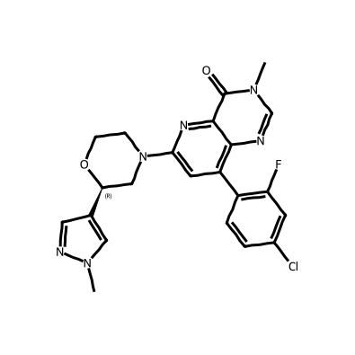 Cn1cc([C@@H]2CN(c3cc(-c4ccc(Cl)cc4F)c4ncn(C)c(=O)c4n3)CCO2)cn1